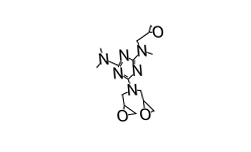 CN(C)c1nc(N(C)CC2CO2)nc(N(CC2CO2)CC2CO2)n1